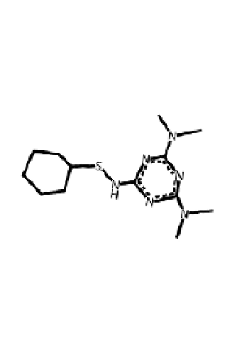 CN(C)c1nc(NSC2CCCCC2)nc(N(C)C)n1